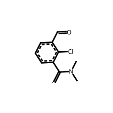 [CH]=C(c1cccc(C=O)c1Cl)N(C)C